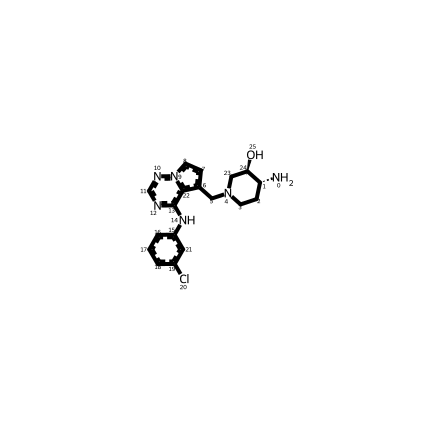 N[C@@H]1CCN(Cc2ccn3ncnc(Nc4cccc(Cl)c4)c23)C[C@H]1O